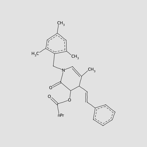 CCCC(=O)OC1C(=O)N(Cc2c(C)cc(C)cc2C)C=C(C)C1C=Cc1ccccc1